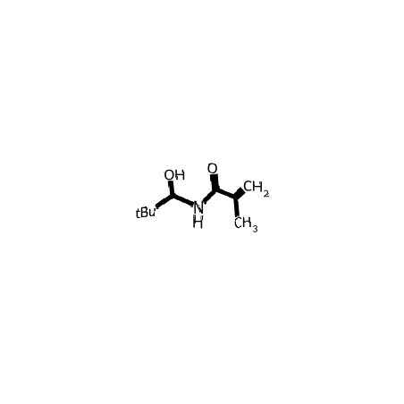 C=C(C)C(=O)NC(O)C(C)(C)C